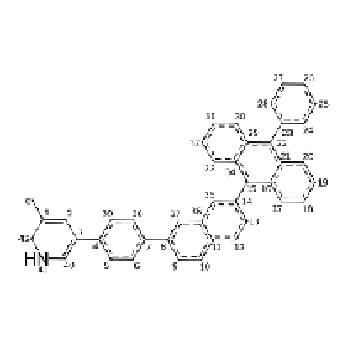 CC1=CC(c2ccc(-c3ccc4ccc(-c5c6ccccc6c(-c6ccccc6)c6ccccc56)cc4c3)cc2)=CNC1